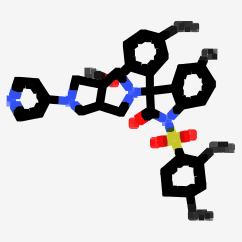 CCOc1ccc(OC)cc1C1(N2CC3CN(c4ccncc4)CC3C2)C(=O)N(S(=O)(=O)c2ccc(OC)cc2OC)c2ccc(C#N)cc21